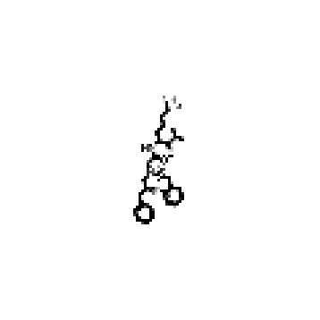 CC(C)C(=O)C(CCCCN)NC(=O)CN(CC(N)Cc1ccccc1)S(=O)(=O)Cc1ccccc1